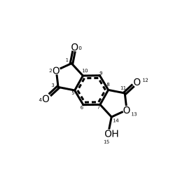 O=C1OC(=O)c2cc3c(cc21)C(=O)OC3O